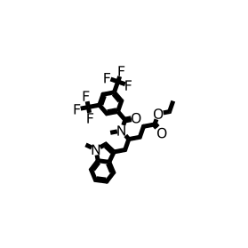 CCOC(=O)CCC(Cc1cn(C)c2ccccc12)N(C)C(=O)c1cc(C(F)(F)F)cc(C(F)(F)F)c1